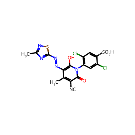 [C-]#[N+]c1c(C)c(N=Nc2nc(C)ns2)c(O)n(-c2cc(Cl)c(S(=O)(=O)O)cc2Cl)c1=O